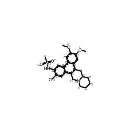 COc1cc2c3c(c4cc(Cl)c(NS(C)(=O)=O)cc4c2cc1OC)CN1CCCCC1C3